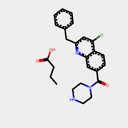 CCCC(=O)O.O=C(c1ccc2c(Cl)cc(Cc3ccccc3)nc2c1)N1CCNCC1